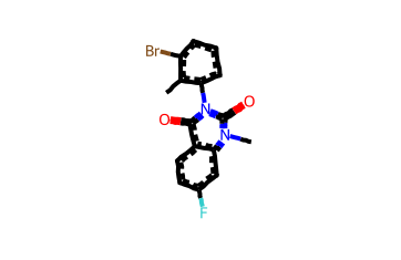 Cc1c(Br)cccc1-n1c(=O)c2ccc(F)cc2n(C)c1=O